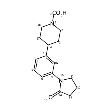 O=C(O)N1CCC(c2cccc(N3CCCC3=O)c2)CC1